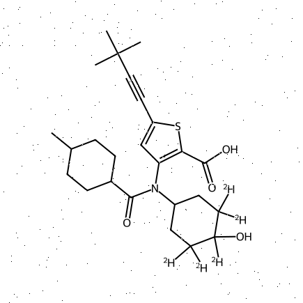 [2H]C1([2H])CC(N(C(=O)C2CCC(C)CC2)c2cc(C#CC(C)(C)C)sc2C(=O)O)CC([2H])([2H])C1([2H])O